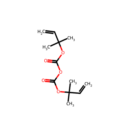 C=CC(C)(C)OC(=O)OC(=O)OC(C)(C)C=C